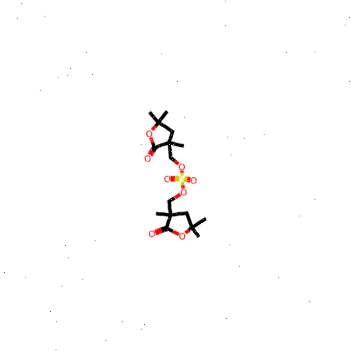 CC1(C)CC(C)(COS(=O)(=O)OCC2(C)CC(C)(C)OC2=O)C(=O)O1